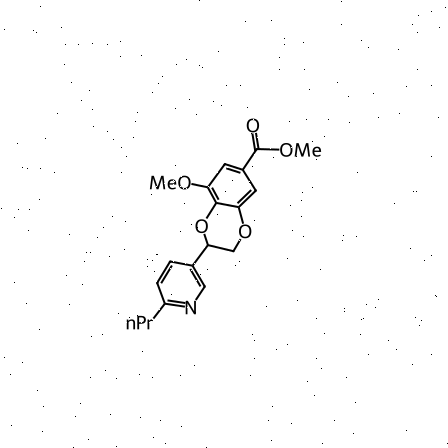 CCCc1ccc(C2COc3cc(C(=O)OC)cc(OC)c3O2)cn1